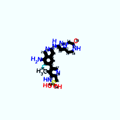 Cc1c(-c2cc3cc(Nc4cc5n(n4)CC(=O)NCC5)ncc3c(N)c2F)cnc2c1NS(O)(O)C2